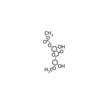 CCOC(=O)COc1cc(O)c2c(=O)cc(-c3ccc(OC)c(O)c3)oc2c1